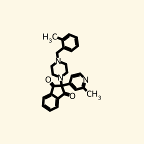 Cc1cc(C2(N3CCN(Cc4ccccc4C)CC3)C(=O)c3ccccc3C2=O)ccn1